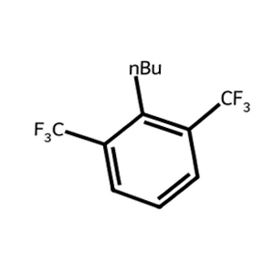 CCCCc1c(C(F)(F)F)cccc1C(F)(F)F